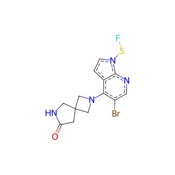 O=C1CC2(CN1)CN(c1c(Br)cnc3c1ccn3SF)C2